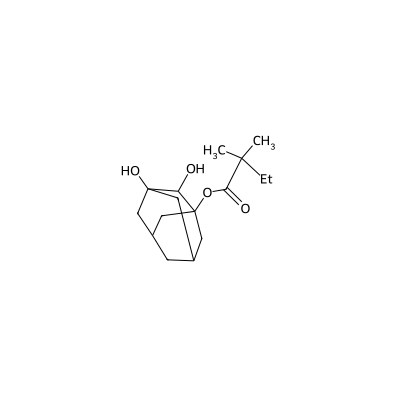 CCC(C)(C)C(=O)OC12CC3CC(CC(O)(C3)C1O)C2